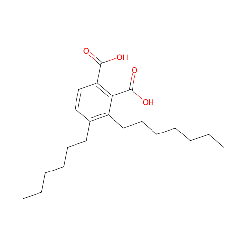 CCCCCCCc1c(CCCCCC)ccc(C(=O)O)c1C(=O)O